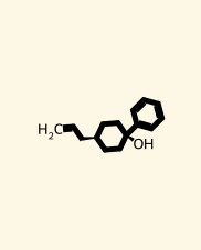 C=CC[C@H]1CC[C@](O)(c2ccccc2)CC1